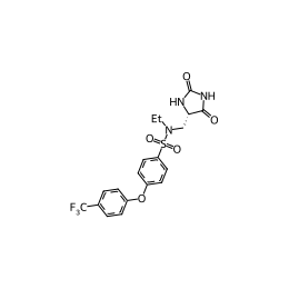 CCN(C[C@@H]1NC(=O)NC1=O)S(=O)(=O)c1ccc(Oc2ccc(C(F)(F)F)cc2)cc1